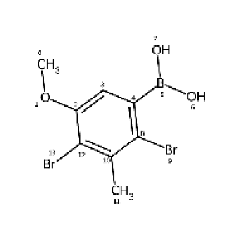 COc1cc(B(O)O)c(Br)c(C)c1Br